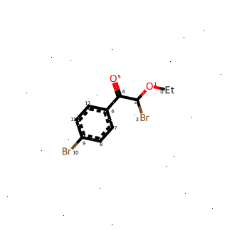 CCOC(Br)C(=O)c1ccc(Br)cc1